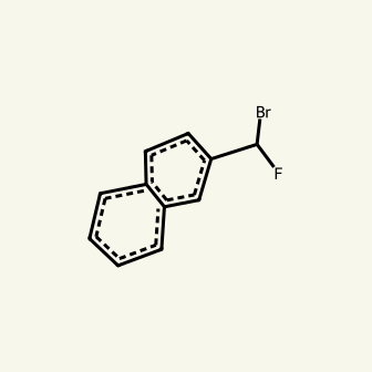 FC(Br)c1ccc2ccccc2c1